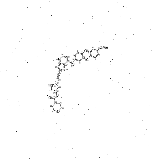 COc1cccc(Oc2ccc(Nc3ncnc4cc(C#C[C@@H]5C[C@@H](OC(=O)N6CCOCC6)CN5)sc34)cc2Cl)c1